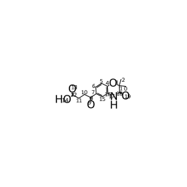 CC1(C)Oc2ccc(C(=O)CCC(=O)O)cc2NC1=O